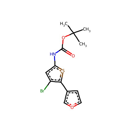 CC(C)(C)OC(=O)Nc1cc(Br)c(-c2ccoc2)s1